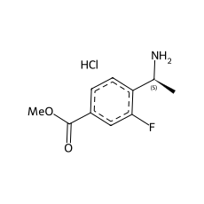 COC(=O)c1ccc([C@H](C)N)c(F)c1.Cl